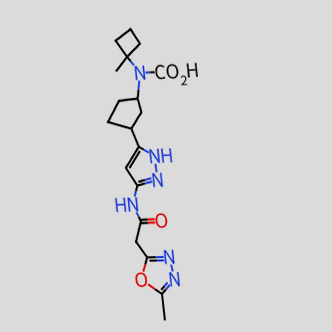 Cc1nnc(CC(=O)Nc2cc(C3CCC(N(C(=O)O)C4(C)CCC4)C3)[nH]n2)o1